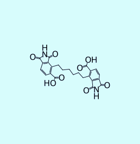 O=C(O)c1ccc2c(c1CCCCCCc1c(C(=O)O)ccc3c1C(=O)NC3=O)C(=O)NC2=O